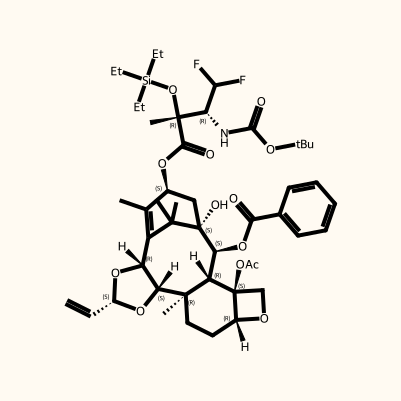 C=C[C@@H]1O[C@@H]2C3=C(C)[C@@H](OC(=O)[C@](C)(O[Si](CC)(CC)CC)[C@@H](NC(=O)OC(C)(C)C)C(F)F)C[C@@](O)([C@@H](OC(=O)c4ccccc4)[C@H]4[C@@](C)(CC[C@H]5OC[C@]54OC(C)=O)[C@@H]2O1)C3(C)C